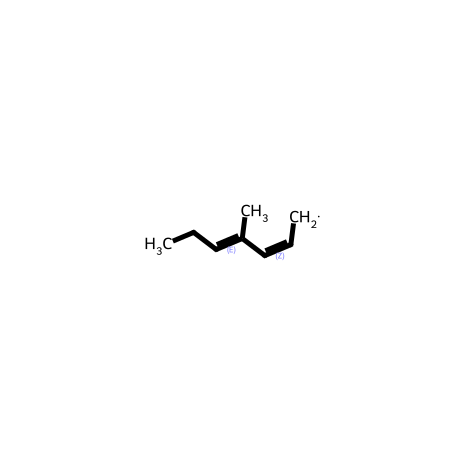 [CH2]/C=C\C(C)=C\CC